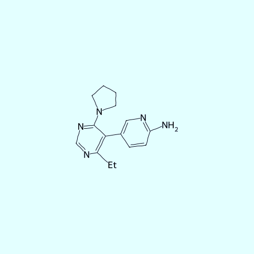 CCc1ncnc(N2CCCC2)c1-c1ccc(N)nc1